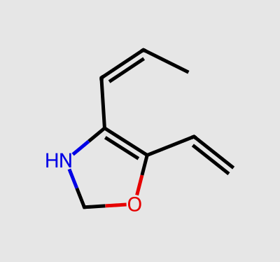 C=CC1=C(/C=C\C)NCO1